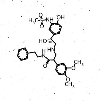 COc1ccc(C(CNC[C@H](O)c2ccc(O)c(NS(C)(=O)=O)c2)C(=O)NCCc2ccccc2)cc1OC